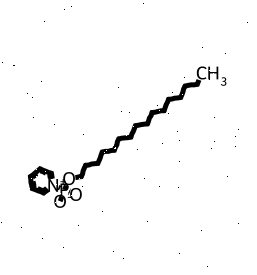 CCCCCCCCCCCCCCCCOP(=O)([O-])[n+]1ccccc1